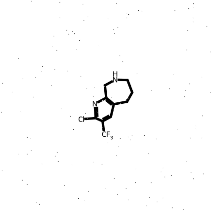 FC(F)(F)c1cc2c(nc1Cl)CNCCC2